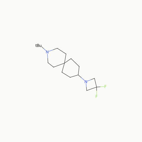 CC(C)(C)N1CCC2(CCC(N3CC(F)(F)C3)CC2)CC1